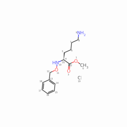 COC(=O)[C@H](CCCCN)NOCc1ccccc1.[C]